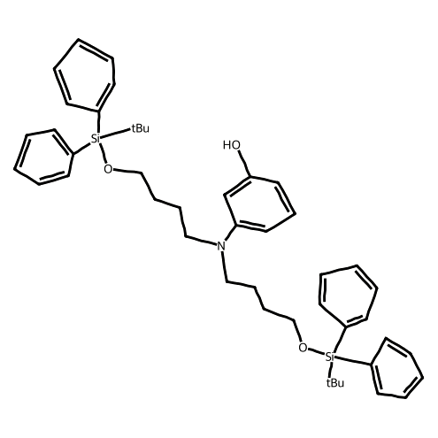 CC(C)(C)[Si](OCCCCN(CCCCO[Si](c1ccccc1)(c1ccccc1)C(C)(C)C)c1cccc(O)c1)(c1ccccc1)c1ccccc1